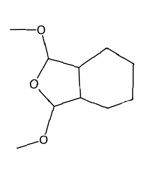 COC1OC(OC)C2CCCCC12